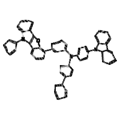 c1ccc(-c2ccc(N(c3ccc(-n4c5ccccc5c5ccccc54)cc3)c3cccc(-c4cccc5c4oc4c6ccccc6n(-c6ccccc6)c54)c3)cc2)cc1